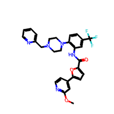 COc1cc(-c2ccc(C(=O)Nc3cc(C(F)(F)F)ccc3N3CCN(Cc4ccccn4)CC3)o2)ccn1